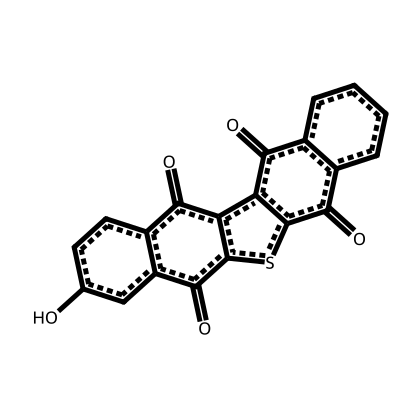 O=c1c2ccccc2c(=O)c2c1sc1c(=O)c3cc(O)ccc3c(=O)c12